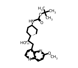 COc1ccc2nccc(C[C@H](O)[C@H]3CC[C@H](NC(=O)OC(C)(C)C)CC3)c2n1